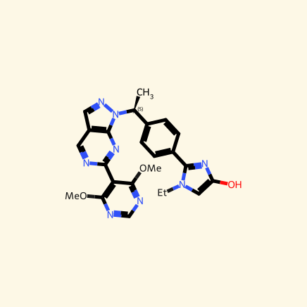 CCn1cc(O)nc1-c1ccc([C@H](C)n2ncc3cnc(-c4c(OC)ncnc4OC)nc32)cc1